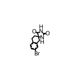 O=C1NC(=O)C2(CCc3ccc(Br)cc3C2)N1